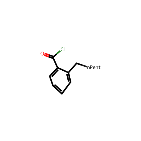 CCCCCCc1ccccc1C(=O)Cl